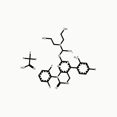 Cc1cc(F)ccc1-c1nc(OC(C)N(CCO)CCO)nc2c1CNC(=O)N2c1c(F)cccc1F.O=C(O)C(F)(F)F